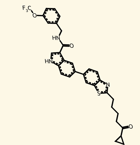 O=C(NCc1cccc(OC(F)(F)F)c1)c1c[nH]c2ccc(-c3ccc4nc(CCCCC(=O)C5CC5)sc4c3)cc12